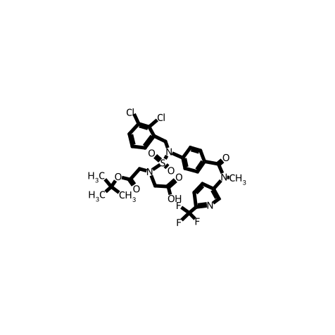 CN(C(=O)c1ccc(N(Cc2cccc(Cl)c2Cl)S(=O)(=O)N(CC(=O)O)CC(=O)OC(C)(C)C)cc1)c1ccc(C(F)(F)F)nc1